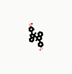 COc1ccc(-c2cc3ccccc3c(-c3c(C)c(-c4ccc(OC)cc4)cc4ccccc34)c2C)cc1